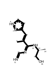 CC(=C\c1cc[nH]n1)/C(=N\C=N)N[C@H](C)CO